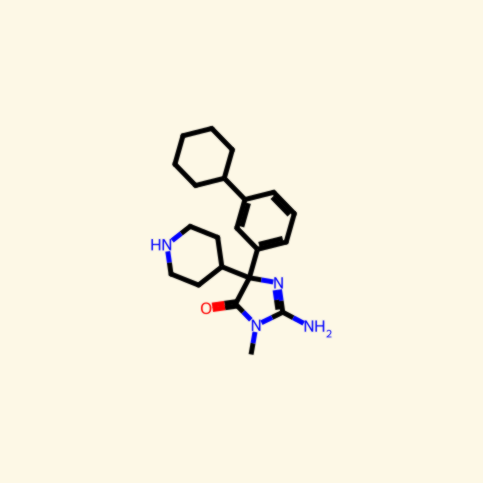 CN1C(=O)C(c2cccc(C3CCCCC3)c2)(C2CCNCC2)N=C1N